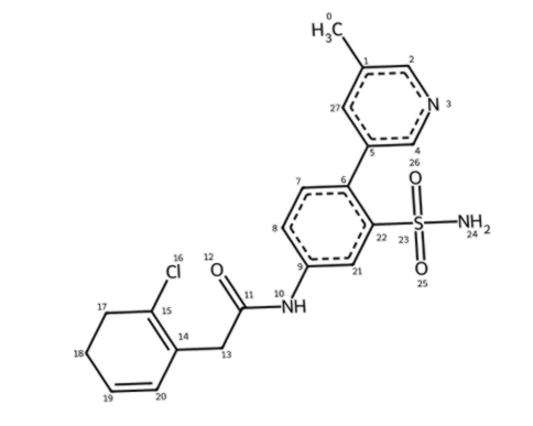 Cc1cncc(-c2ccc(NC(=O)CC3=C(Cl)CCC=C3)cc2S(N)(=O)=O)c1